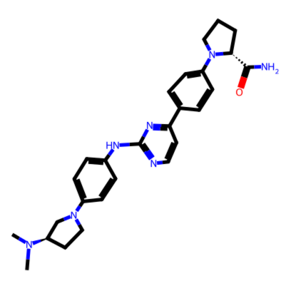 CN(C)[C@@H]1CCN(c2ccc(Nc3nccc(-c4ccc(N5CCC[C@@H]5C(N)=O)cc4)n3)cc2)C1